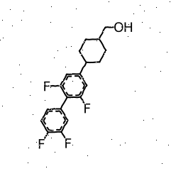 OCC1CCC(c2cc(F)c(-c3ccc(F)c(F)c3)c(F)c2)CC1